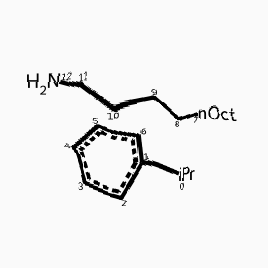 CC(C)c1ccccc1.CCCCCCCCCCCCN